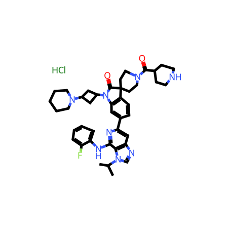 CC(C)n1cnc2cc(-c3ccc4c(c3)N(C3CC(N5CCCCC5)C3)C(=O)C43CCN(C(=O)C4CCNCC4)CC3)nc(Nc3ccccc3F)c21.Cl